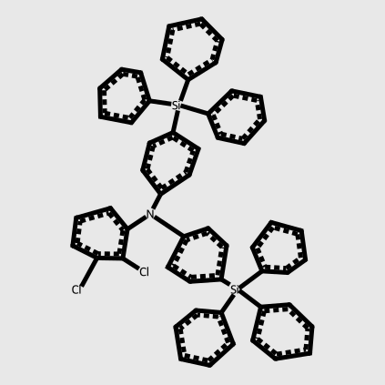 Clc1cccc(N(c2ccc([Si](c3ccccc3)(c3ccccc3)c3ccccc3)cc2)c2ccc([Si](c3ccccc3)(c3ccccc3)c3ccccc3)cc2)c1Cl